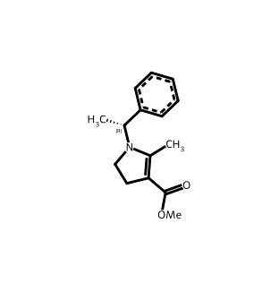 COC(=O)C1=C(C)N([C@H](C)c2ccccc2)CC1